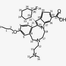 CCCOc1ccc2c(c1)CN(CCN(C)C)CCn1c-2c([C@@H]2CCCC[C@H]2F)c2ccc(C(=O)O)cc21